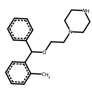 Cc1ccccc1C(OCCN1CCNCC1)c1ccccc1